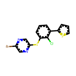 Clc1c(Sc2cnc(Br)cn2)cccc1-c1cccs1